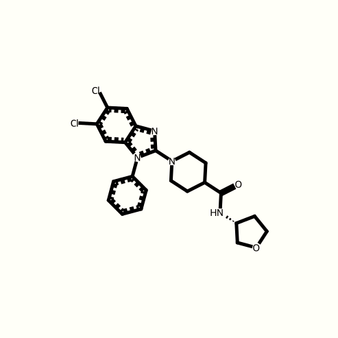 O=C(N[C@@H]1CCOC1)C1CCN(c2nc3cc(Cl)c(Cl)cc3n2-c2ccccc2)CC1